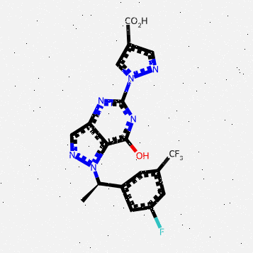 C[C@H](c1cc(F)cc(C(F)(F)F)c1)n1ncc2nc(-n3cc(C(=O)O)cn3)nc(O)c21